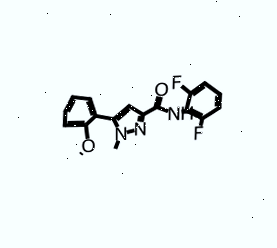 COc1ccccc1-c1cc(C(=O)Nc2c(F)cccc2F)nn1C